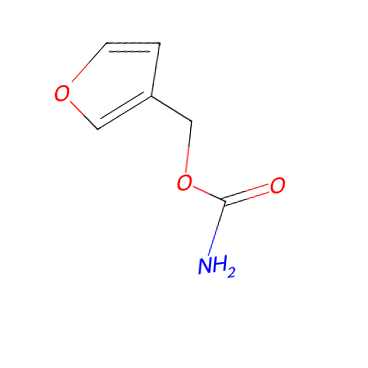 NC(=O)OCc1ccoc1